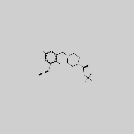 Cc1cc(CN2CCN(C(=O)OC(C)(C)C)[C@@H](C)C2)c(C)c(N=C=S)c1